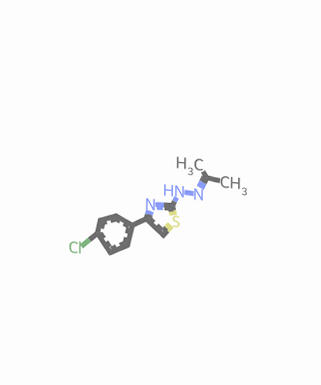 CC(C)=NNc1nc(-c2ccc(Cl)cc2)cs1